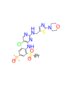 CC(C)S(=O)(=O)c1cc(P(C)(C)=O)ccc1Nc1nc(NCc2cnc(N3CCOCC3)s2)ncc1Cl